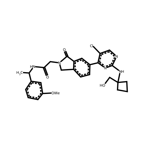 COc1cccc(C(C)NC(=O)CN2Cc3ccc(-c4nc(NC5(CO)CCC5)ncc4Cl)cc3C2=O)c1